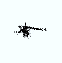 CCCCCCCCCCCCCCCC(=O)N[C@@H](CO)C(=O)N[C@@H](CCC)C(=O)N[C@@H](CC(C)C)C(=O)N[C@@H](CO)C(=O)NC